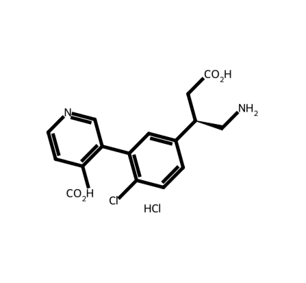 Cl.NC[C@H](CC(=O)O)c1ccc(Cl)c(-c2cnccc2C(=O)O)c1